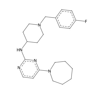 Fc1ccc(CN2CCC(Nc3nccc(N4CCCCCC4)n3)CC2)cc1